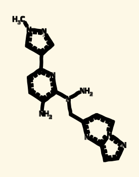 Cn1cc(-c2ccc(N)c(N(N)Cc3ccn4nccc4n3)n2)cn1